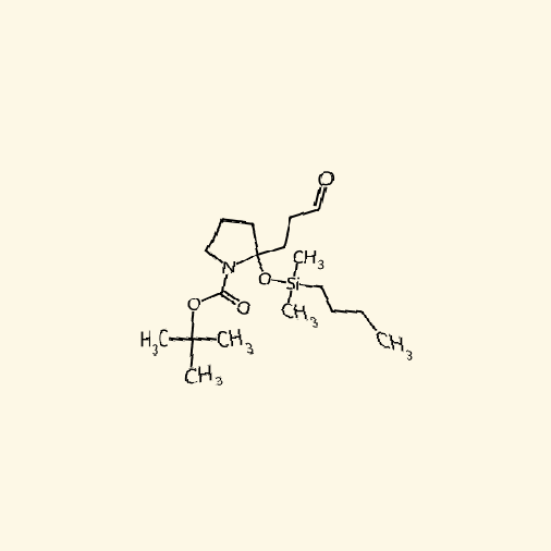 CCCC[Si](C)(C)OC1(CCC=O)CCCN1C(=O)OC(C)(C)C